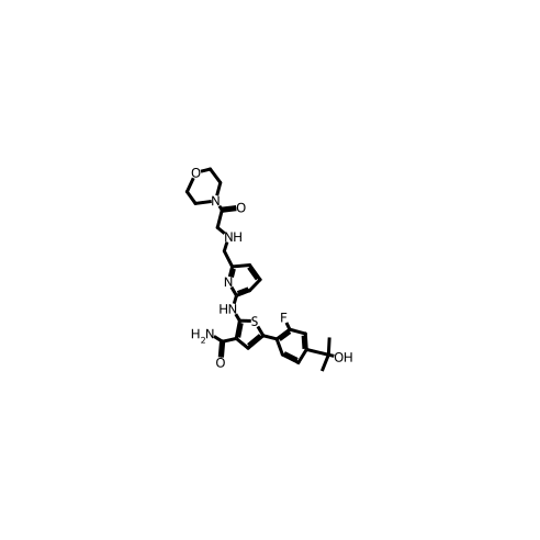 CC(C)(O)c1ccc(-c2cc(C(N)=O)c(Nc3cccc(CNCC(=O)N4CCOCC4)n3)s2)c(F)c1